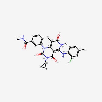 CNC(=O)c1cccc(-n2c(=O)n(C3CC3)c(=O)c3c(Nc4ccc(C)cc4F)n(C)c(=O)c(C)c32)c1